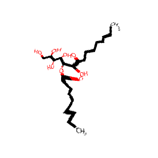 CCCCCCCCC(=O)O[C@@H](C(O)C(=O)CCCCCCCC)[C@@H](O)[C@H](O)[C@H](O)CO